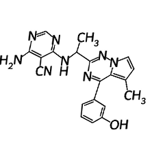 Cc1ccn2nc(C(C)Nc3ncnc(N)c3C#N)nc(-c3cccc(O)c3)c12